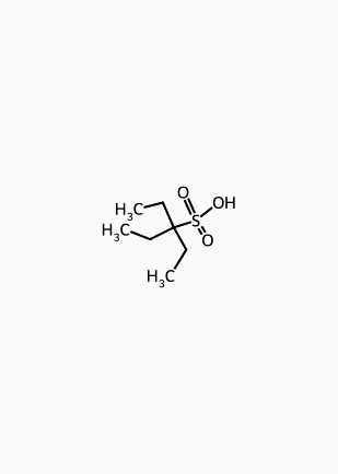 CCC(CC)(CC)S(=O)(=O)O